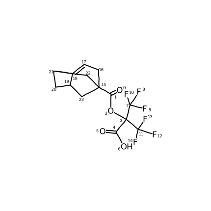 O=C(OC(C(=O)O)(C(F)(F)F)C(F)(F)F)C12CC=C3C(CC3C1)C2